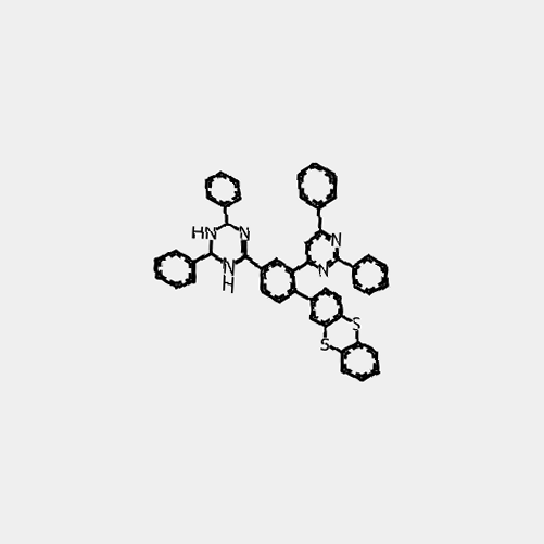 c1ccc(-c2cc(-c3cc(C4=NC(c5ccccc5)NC(c5ccccc5)N4)ccc3-c3ccc4c(c3)Sc3ccccc3S4)nc(-c3ccccc3)n2)cc1